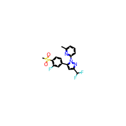 Cc1cccc(-n2nc(C(F)F)cc2-c2ccc(S(C)(=O)=O)c(F)c2)n1